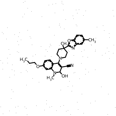 CCCOc1ccc2c(c1)N(C)C(O)C(C#N)=C2N1CCC(C)(c2nc3cc(C)ccc3o2)CC1